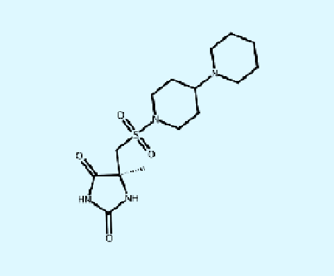 C[C@]1(CS(=O)(=O)N2CCC(N3CCCCC3)CC2)NC(=O)NC1=O